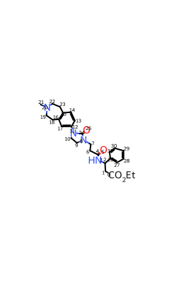 CCOC(=O)CC(NC(=O)CCN1CCN(c2ccc3c(c2)CCN(C)CC3)C1=O)c1ccccc1